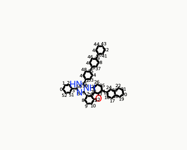 c1ccc(C2=NC(c3cccc4oc5c(-c6ccc7ccccc7c6)cccc5c34)NC(c3ccc(-c4ccc(-c5ccccc5)cc4)cc3)N2)cc1